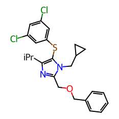 CC(C)c1nc(COCc2ccccc2)n(CC2CC2)c1Sc1cc(Cl)cc(Cl)c1